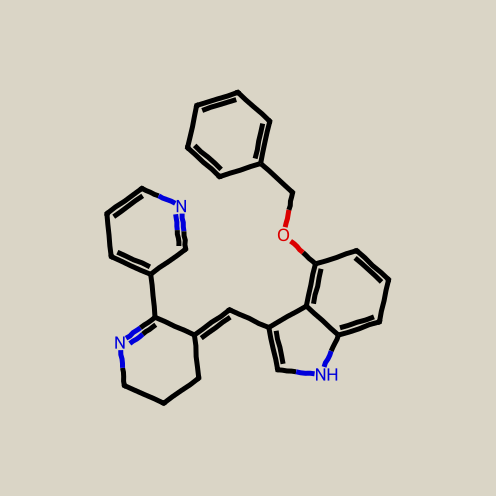 C(=C1CCCN=C1c1cccnc1)c1c[nH]c2cccc(OCc3ccccc3)c12